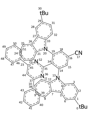 CC(C)(C)c1ccc2c(c1)c1ccccc1n2-c1cc(C#N)cc(-n2c3ccccc3c3cc(C(C)(C)C)ccc32)c1-c1nc(-c2ccccc2)cc(-c2ccccc2)n1